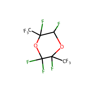 F[C]1OC(F)(C(F)(F)F)C(F)(F)OC1(F)C(F)(F)F